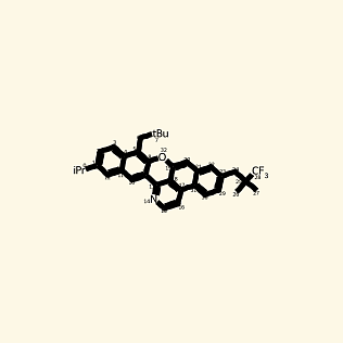 CC(C)c1ccc2c(CC(C)(C)C)c3c(cc2c1)-c1nccc2c1c(cc1cc(CC(C)(C)C(F)(F)F)ccc12)O3